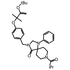 C=C(OC(C)(C)C)C(C)(C)Oc1ccc(CN2CN(c3ccccc3)C3(CCN(C(=O)C(C)C)CC3)C2=O)cc1